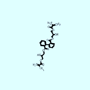 C=C(C)C(=O)OCC(O)COC(=O)c1ccccc1-c1ccccc1C(=O)OCC(O)COC(=O)C(=C)C